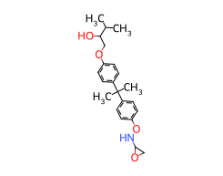 CC(C)C(O)COc1ccc(C(C)(C)c2ccc(ONC3CO3)cc2)cc1